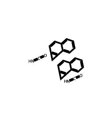 N=C=O.N=C=O.c1ccc2c3c(ccc2c1)C3.c1ccc2c3c(ccc2c1)C3